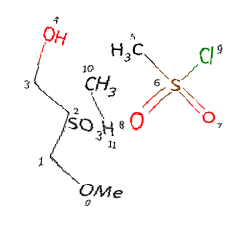 COCCCO.CS(=O)(=O)Cl.CS(=O)(=O)O